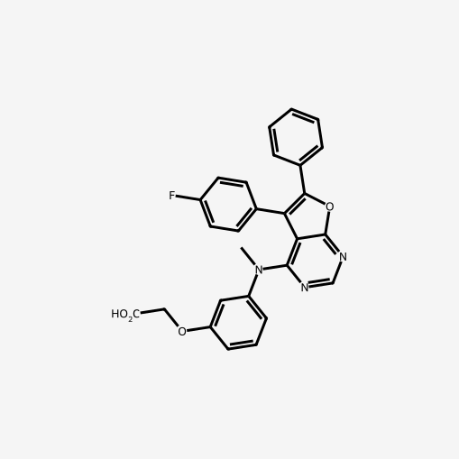 CN(c1cccc(OCC(=O)O)c1)c1ncnc2oc(-c3ccccc3)c(-c3ccc(F)cc3)c12